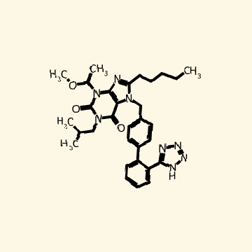 CCCCCc1nc2c(c(=O)n(CC(C)C)c(=O)n2C(C)OC)n1Cc1ccc(-c2ccccc2-c2nnn[nH]2)cc1